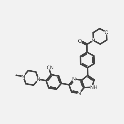 CN1CCN(c2ccc(-c3cnc4[nH]cc(-c5ccc(C(=O)N6CCOCC6)cc5)c4n3)cc2C#N)CC1